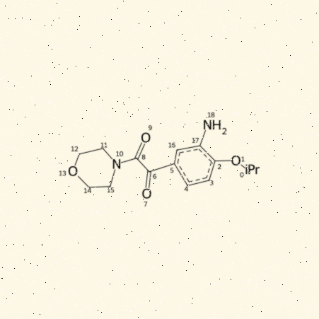 CC(C)Oc1ccc(C(=O)C(=O)N2CCOCC2)cc1N